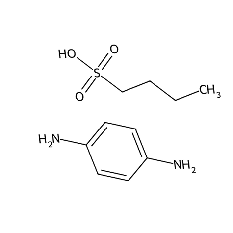 CCCCS(=O)(=O)O.Nc1ccc(N)cc1